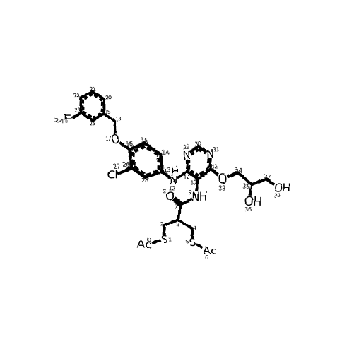 CC(=O)SCC(CSC(C)=O)C(=O)Nc1c(Nc2ccc(OCc3cccc(F)c3)c(Cl)c2)ncnc1OC[C@H](O)CO